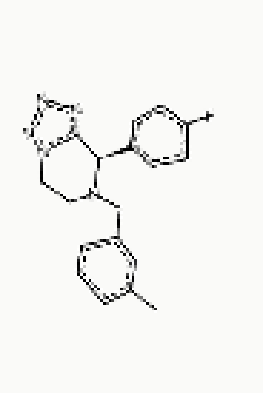 Cc1cccc(CN2CCn3nnnc3[C@H]2c2ccc(F)cc2)c1